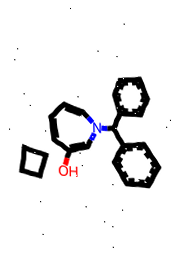 C1CCC1.OC1=CN(C(c2ccccc2)c2ccccc2)C=CC=C1